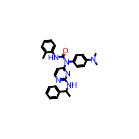 Cc1ccccc1NC(=O)N(c1ccc(N(C)C)cc1)c1ccnc(NC(C)c2ccccc2)n1